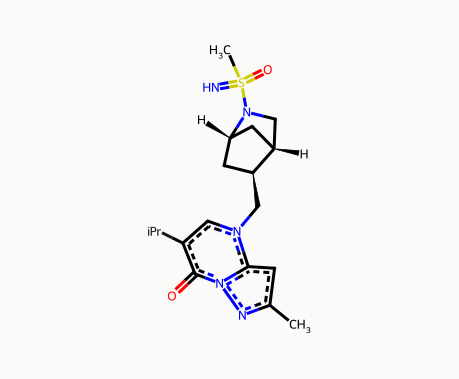 Cc1cc2n(C[C@H]3C[C@H]4C[C@@H]3CN4S(C)(=N)=O)cc(C(C)C)c(=O)n2n1